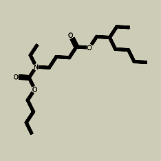 CCCCOC(=O)N(CC)CCCC(=O)OCC(CC)CCCC